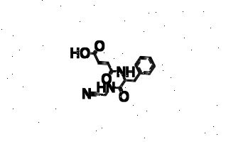 N#CCNC(=O)C(Cc1ccccc1)NC(=O)C=CC(=O)O